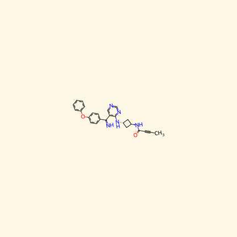 CC#CC(=O)N[C@H]1C[C@H](Nc2ncncc2C(=N)c2ccc(Oc3ccccc3)cc2)C1